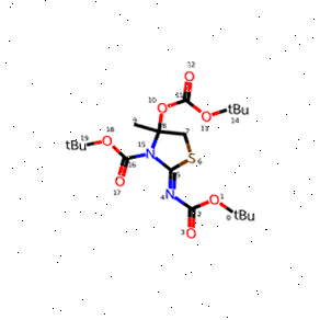 CC(C)(C)OC(=O)N=C1SCC(C)(OC(=O)OC(C)(C)C)N1C(=O)OC(C)(C)C